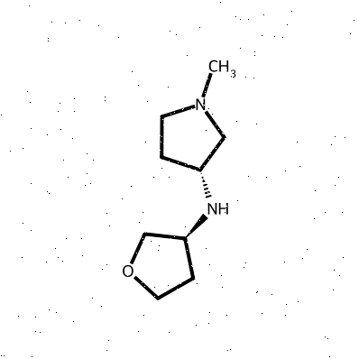 CN1CC[C@@H](N[C@H]2CCOC2)C1